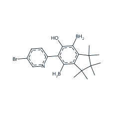 Bc1c(O)c(-c2ccc(Br)cn2)c(B)c2c1C(C)(C)C(C)(C)C2(C)C